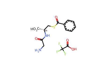 NCC(=O)N[C@@H](CSC(=O)c1ccccc1)C(=O)O.O=C(O)C(F)(F)F